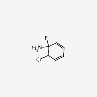 NC1(F)C=CC=CC1Cl